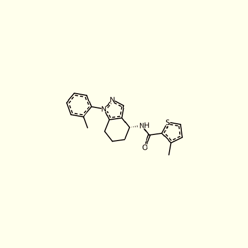 Cc1ccccc1-n1ncc2c1CCC[C@H]2NC(=O)c1sccc1C